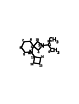 CC(C)N1CC2(CCCCN2C2CCC2)C1